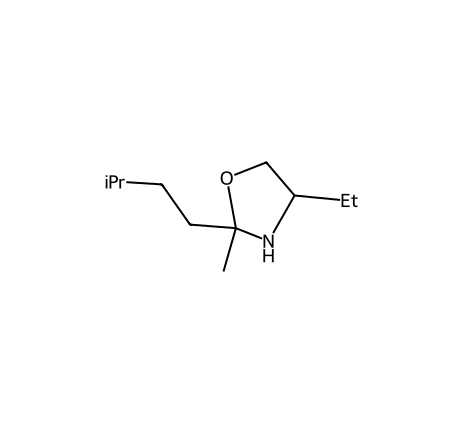 CCC1COC(C)(CCC(C)C)N1